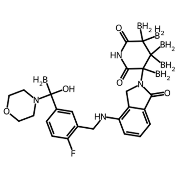 BC(O)(c1ccc(F)c(CNc2cccc3c2CN(C2(B)C(=O)NC(=O)C(B)(B)C2(B)B)C3=O)c1)N1CCOCC1